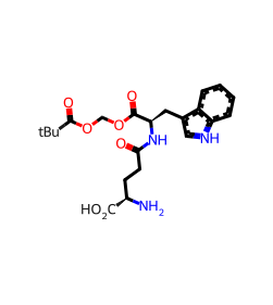 CC(C)(C)C(=O)OCOC(=O)[C@@H](Cc1c[nH]c2ccccc12)NC(=O)CC[C@@H](N)C(=O)O